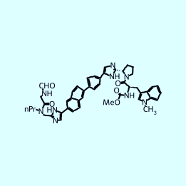 CCCN(Cc1ncc(-c2ccc3cc(-c4ccc(-c5cnc([C@@H]6CCCN6C(=O)[C@@H](Cc6cn(C)c7ccccc67)NC(=O)OC)[nH]5)cc4)ccc3c2)[nH]1)C(=O)CNC=O